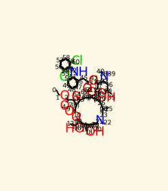 CCOC(=O)C[C@]1(C)C(=O)O[C@H](CC)[C@@](C)(O)[C@H](O)[C@@H](C)N(C)C[C@H](C)C[C@@](C)(O)[C@H](O[C@@H]2O[C@H](C)C[C@H](N(C)C)[C@H]2OC(=O)Cc2ccccc2Nc2c(Cl)cccc2Cl)[C@@H](C)C1=O